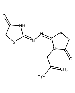 C=C(C)CN1C(=O)CS/C1=N/N=C1\NC(=O)CS1